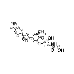 Cc1cc(-c2noc(-c3ccc(CC(C)C)nc3)n2)cc(C)c1OCC(O)CNC(=O)CO